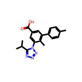 Cc1ccc(-c2cc(C(=O)O)cc(-n3nnnc3C(C)C)c2C)cc1